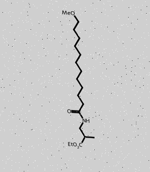 CCOC(=O)C(C)CNC(=O)CCCCCCCCCCCOC